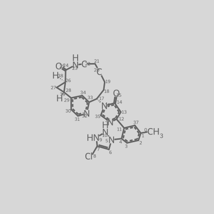 Cc1ccc(N2C=C(Cl)NN2)c(-c2cc(=O)n([C@H]3CCCCCNC(=O)[C@@H]4C[C@@H]4c4ccnc3c4)cn2)c1